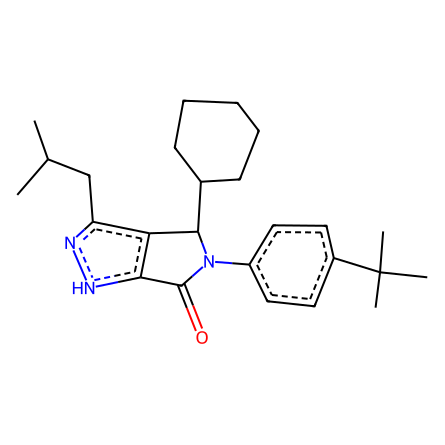 CC(C)Cc1n[nH]c2c1C(C1CCCCC1)N(c1ccc(C(C)(C)C)cc1)C2=O